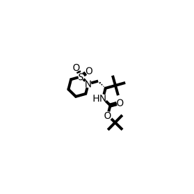 CC(C)(C)OC(=O)N[C@H](CN1CCCCS1(=O)=O)C(C)(C)C